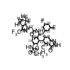 Cc1c(-c2cc(NS(C)(=O)=O)cnc2[C@H](Cc2cc(F)cc(F)c2)NC(=O)Cn2nc(C(F)(F)F)c3c2C(F)(F)[C@@H]2C[C@H]32)ccc2n[nH]c(=O)n12